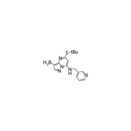 Bc1cnn2c(NCc3cccnc3)cc(SC(C)(C)C)nc12